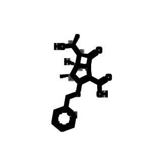 C[C@H](O)[C@H]1C(=O)N2C(C(=O)O)=C(SCc3ccccn3)[C@H](C)[C@@H]12